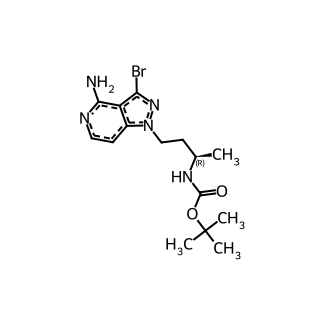 C[C@H](CCn1nc(Br)c2c(N)nccc21)NC(=O)OC(C)(C)C